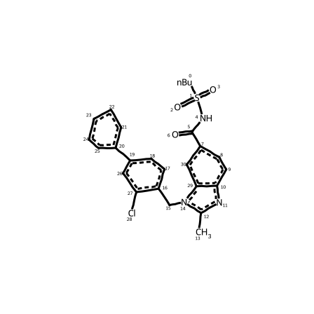 CCCCS(=O)(=O)NC(=O)c1ccc2nc(C)n(Cc3ccc(-c4ccccc4)cc3Cl)c2c1